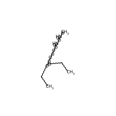 CCCCCCCC/C=C\CCCCCCCCOCC(COCCOCCOCCOCCOC(=O)CNCCOC(=O)CNCCOC)OCCCCCCCC/C=C\CCCCCCCC